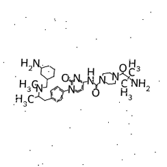 CC(Cc1ccc(-n2ccc(NC(=O)N3CCN(C(=O)C(C)(C)N)CC3)nc2=O)cc1)N(C)CC1CCCC(N)C1